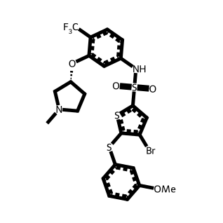 COc1cccc(Sc2sc(S(=O)(=O)Nc3ccc(C(F)(F)F)c(O[C@@H]4CCN(C)C4)c3)cc2Br)c1